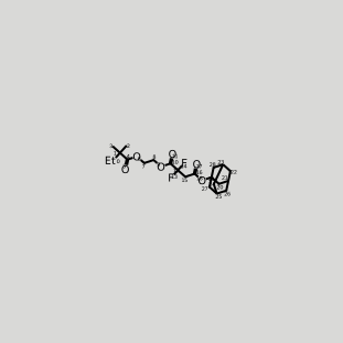 CCC(C)(C)C(=O)OCCOC(=O)C(F)(F)CC(=O)OC12CC3CC(CC(C3)C1)C2